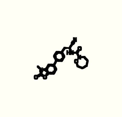 Cn1c(=O)oc2ccc(-c3ccc(C[C@@H](C#N)NC(=O)N4CCCCCO4)cc3)cc21